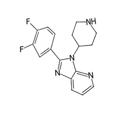 Fc1ccc(-c2nc3cccnc3n2C2CCNCC2)cc1F